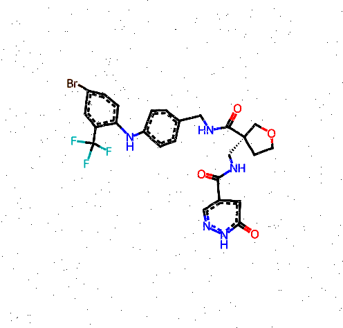 O=C(NC[C@@]1(C(=O)NCc2ccc(Nc3ccc(Br)cc3C(F)(F)F)cc2)CCOC1)c1cn[nH]c(=O)c1